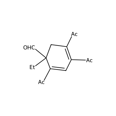 CCC1(C=O)CC(C(C)=O)=C(C(C)=O)C=C1C(C)=O